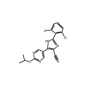 CC(C)Oc1ncc(-c2[nH]c(-c3c(Cl)cccc3Cl)nc2C#N)cn1